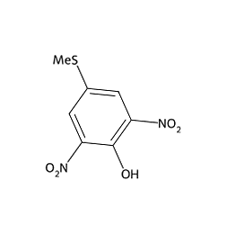 CSc1cc([N+](=O)[O-])c(O)c([N+](=O)[O-])c1